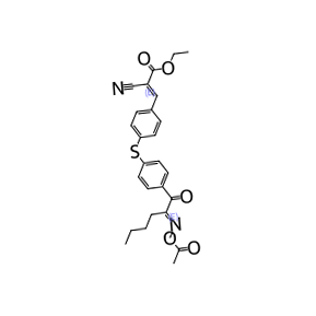 CCCC/C(=N\OC(C)=O)C(=O)c1ccc(Sc2ccc(/C=C(\C#N)C(=O)OCC)cc2)cc1